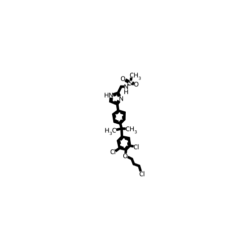 CC(C)(c1ccc(-c2c[nH]c(CNS(C)(=O)=O)n2)cc1)c1cc(Cl)c(OCCCCl)c(Cl)c1